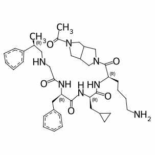 CC(=O)N1CC2CN(C(=O)[C@@H](CCCCN)NC(=O)[C@@H](CC3CC3)NC(=O)[C@@H](Cc3ccccc3)NC(=O)CNC[C@H](C)c3ccccc3)CC2C1